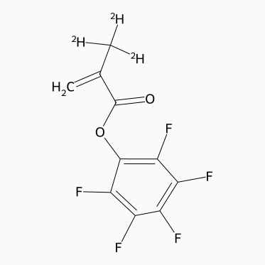 [2H]C([2H])([2H])C(=C)C(=O)Oc1c(F)c(F)c(F)c(F)c1F